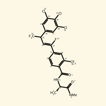 CNC(=O)[C@@H](C)NC(=O)c1ccc(/C(F)=C/C(c2cc(Cl)c(Cl)c(Cl)c2)C(F)(F)F)cc1C(F)(F)F